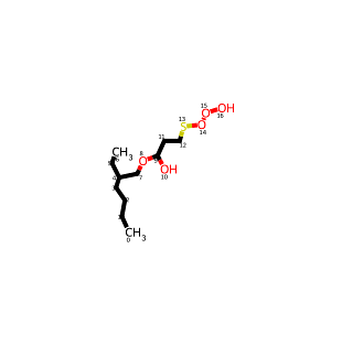 CCCCC(CC)COC(O)CCSOOO